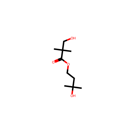 CC(C)(O)CCOC(=O)C(C)(C)CO